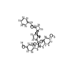 COc1ccc(CN(Cc2ccc(OC)cc2)S(=O)(=O)c2ccn([C@@H]3CC[C@@H]3OCc3ccccc3)n2)cc1